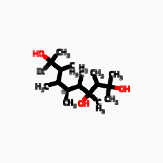 CCC(C)(O)C(C)C(C)[C@H](C)C(C)C(C)(O)C(C)C(C)(C)O